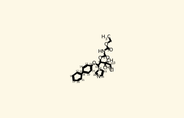 CCOC(=O)NC(=O)OC(C(Oc1ccc(-c2ccccc2)cc1)n1ccnc1)C(C)(C)CCl